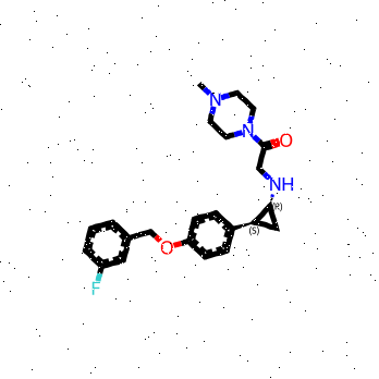 CN1CCN(C(=O)CN[C@@H]2C[C@H]2c2ccc(OCc3cccc(F)c3)cc2)CC1